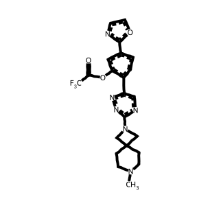 CN1CCC2(CC1)CN(c1ncc(-c3ccc(-c4ncco4)cc3OC(=O)C(F)(F)F)nn1)C2